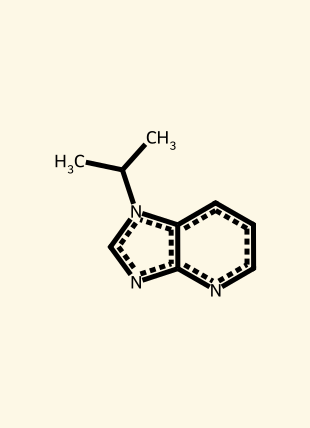 CC(C)n1cnc2ncccc21